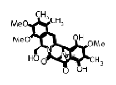 COc1c(C)c(O)c2c(c1O)C1C3=Cc4c(C)c(C)c(OC)c(OC)c4[C@H](CO)N3C(=O)C(C2=O)N1C